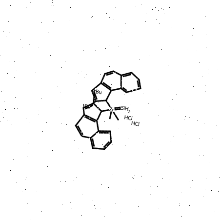 CC(C)(C)C1=Cc2ccc3ccccc3c2[CH]1[Zr]([CH3])([CH3])(=[SiH2])[CH]1C(C(C)(C)C)=Cc2ccc3ccccc3c21.Cl.Cl